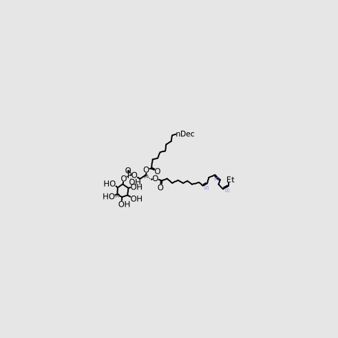 CC/C=C\C/C=C\C/C=C\CCCCCCCC(=O)OC[C@H](COP(=O)(O)OC1C(O)C(O)C(O)[C@@H](O)C1O)OC(=O)CCCCCCCCCCCCCCCCC